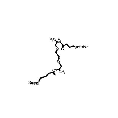 CC(COCCOCC(C)NC(=O)CCCN=[N+]=[N-])NC(=O)CCCN=[N+]=[N-]